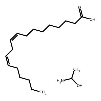 CC(N)O.CCCCC/C=C\C/C=C\CCCCCCCC(=O)O